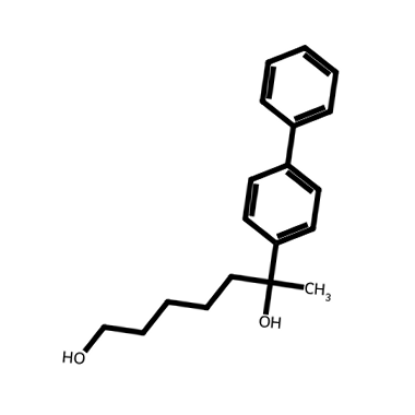 CC(O)(CCCCCO)c1ccc(-c2ccccc2)cc1